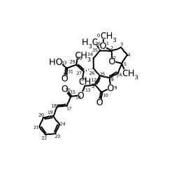 COC12CCC(C)(/C=C3/OC(=O)C(COC(=O)/C=C/c4ccccc4)=C3[C@H](/C(C)=C(\C)C(=O)O)C[C@H]1C)O2